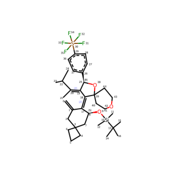 C=C1CC2(CCC2)C[C@H](O[Si](C)(C)C(C)(C)C)/C1=C1/C(=C(\C)C(C)C)[C@@H](c2ccc(S(F)(F)(F)(F)F)cc2)OC12CCOCC2